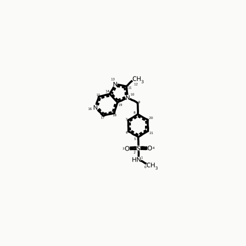 CNS(=O)(=O)c1ccc(Cn2c(C)nc3cnccc32)cc1